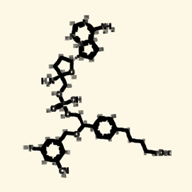 CCCCCCCCCCCCCCc1ccc([C@H](COP(=O)(O)OC[C@]2(N)CC[C@H](c3ccc4c(N)ncnn34)O2)OCc2cc(F)cc(C#N)c2)cc1